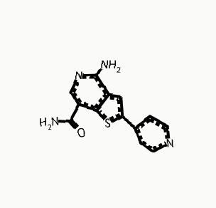 NC(=O)c1cnc(N)c2cc(-c3ccncc3)sc12